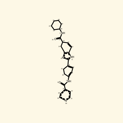 O=C(NC1=CC=C(c2nc3c([nH]2)C=CC(C(=O)NC2CCCCC2)C3)CC1)c1ccncc1